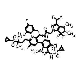 C[C@@H]1c2c(C(F)F)nn(CC(=O)N[C@@H](Cc3cc(F)cc(F)c3)c3nc(CCC(C)(C)S(=O)(=O)C4CC4)c(I)cc3-c3ccc(Cl)c4c(NS(=O)(=O)C5CC5)nn(C)c34)c2C(F)(F)[C@@H]1C